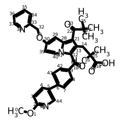 COc1ccc(-c2ccc(C(=O)c3c(CC(C)(C)C(=O)O)c(C(=O)C(C)(C)C)c4cc(OCc5ccccn5)ccn34)cc2)cn1